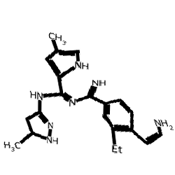 CCc1cc(C(=N)/N=C(/NC2=NNC(C)C2)c2cc(C)c[nH]2)ccc1/C=C\N